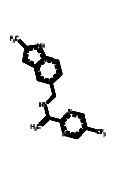 C=C(NCc1ccc2[nH]c(C(F)(F)F)cc2c1)c1ncc(C(F)(F)F)cn1